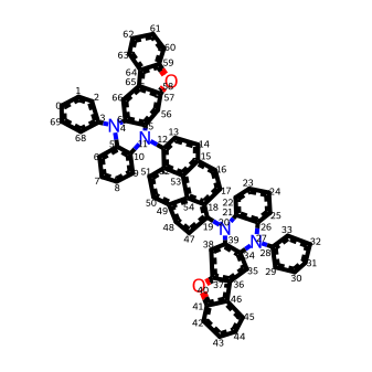 c1ccc(N2c3ccccc3N(c3ccc4ccc5c(N6c7ccccc7N(c7ccccc7)c7cc8c(cc76)oc6ccccc68)ccc6ccc3c4c65)c3cc4oc5ccccc5c4cc32)cc1